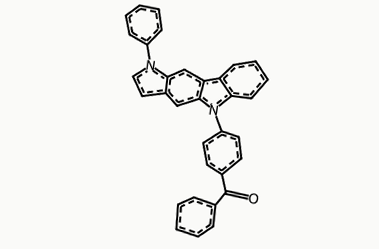 O=C(c1ccccc1)c1ccc(-n2c3ccccc3c3cc4c(ccn4-c4ccccc4)cc32)cc1